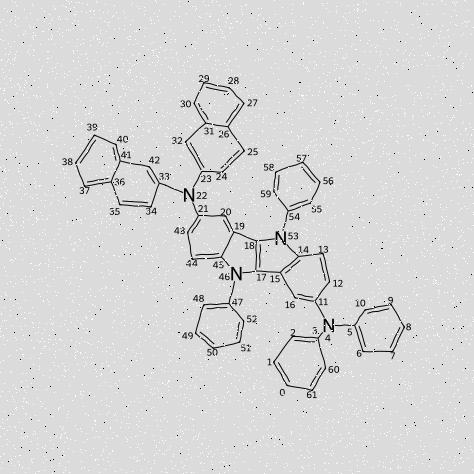 c1ccc(N(c2ccccc2)c2ccc3c(c2)c2c(c4cc(N(c5ccc6ccccc6c5)c5ccc6ccccc6c5)ccc4n2-c2ccccc2)n3-c2ccccc2)cc1